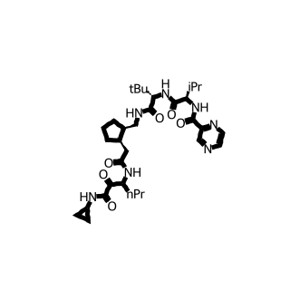 CCCC(NC(=O)C[C@H]1CCC[C@H]1CNC(=O)[C@@H](NC(=O)[C@H](NC(=O)c1cnccn1)C(C)C)C(C)(C)C)C(=O)C(=O)NC1CC1